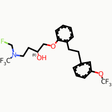 O[C@H](CCN(CF)C(F)(F)F)COc1ccccc1CCc1cccc(OC(F)(F)F)c1